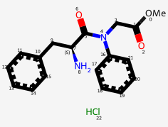 COC(=O)CN(C(=O)[C@@H](N)Cc1ccccc1)c1ccccc1.Cl